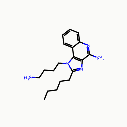 CCCCCc1nc2c(N)nc3ccccc3c2n1CCCCN